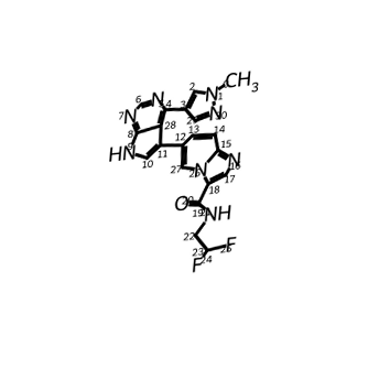 Cn1cc(-c2ncnc3[nH]cc(-c4ccc5ncc(C(=O)NCC(F)F)n5c4)c23)cn1